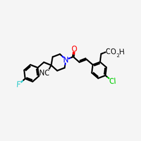 N#CC1(Cc2ccc(F)cc2)CCN(C(=O)C=Cc2ccc(Cl)cc2CC(=O)O)CC1